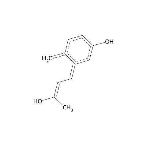 C=c1ccc(O)c/c1=C/C=C(\C)O